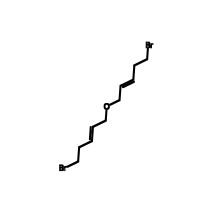 BrCCC=CCOCC=CCCBr